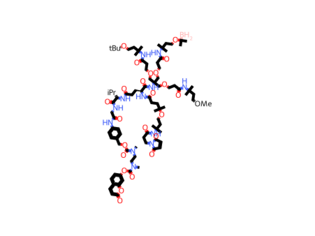 BC(C)(C)OCCC(C)(C)NC(=O)CCOCC(COCCC(=O)NC(C)(C)CCOC)(COCCC(=O)NC(C)(C)CCOC(C)(C)C)NC(=O)[C@H](CCC(=O)NC(C(=O)NCC(=O)Nc1ccc(COC(=O)N(C)CCN(C)C(=O)Oc2ccc3ccc(=O)oc3c2)cc1)C(C)C)NC(=O)CCC(C)(C)OCCC(C)(C)NC(=O)CCN1C(=O)C=CC1=O